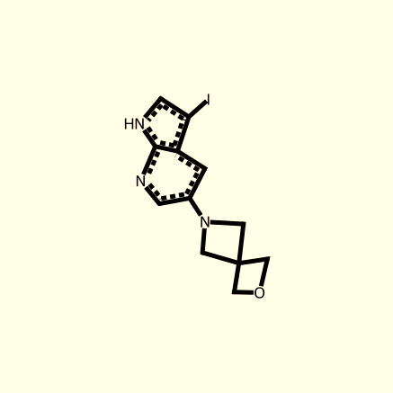 Ic1c[nH]c2ncc(N3CC4(COC4)C3)cc12